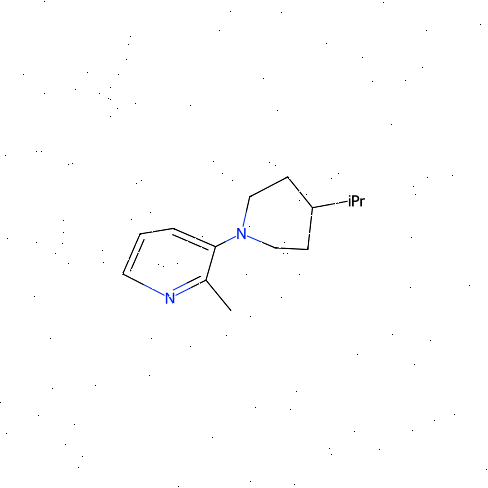 Cc1ncccc1N1CCC(C(C)C)CC1